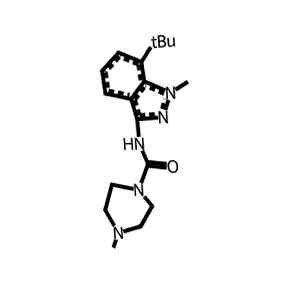 CN1CCN(C(=O)Nc2nn(C)c3c(C(C)(C)C)cccc23)CC1